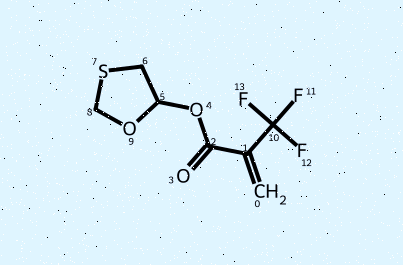 C=C(C(=O)OC1CSCO1)C(F)(F)F